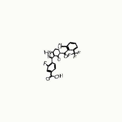 O=C(O)c1ccc(-c2n[nH]c3c2C(=O)C(C(=O)c2c(Cl)cccc2C(F)(F)F)CC3)c(F)c1